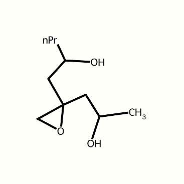 CCCC(O)CC1(CC(C)O)CO1